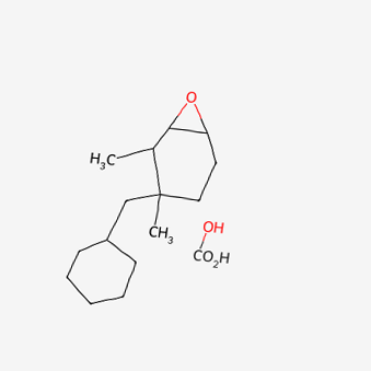 CC1C2OC2CCC1(C)CC1CCCCC1.O=C(O)O